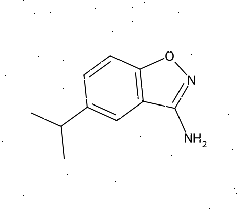 CC(C)c1ccc2onc(N)c2c1